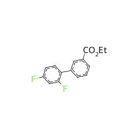 CCOC(=O)c1cccc(-c2ccc(F)cc2F)c1